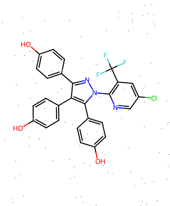 Oc1ccc(-c2nn(-c3ncc(Cl)cc3C(F)(F)F)c(-c3ccc(O)cc3)c2-c2ccc(O)cc2)cc1